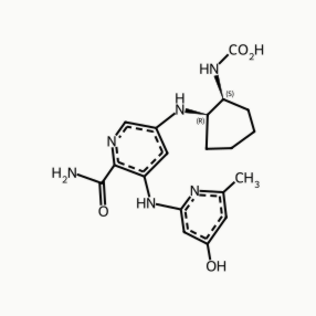 Cc1cc(O)cc(Nc2cc(N[C@@H]3CCCC[C@@H]3NC(=O)O)cnc2C(N)=O)n1